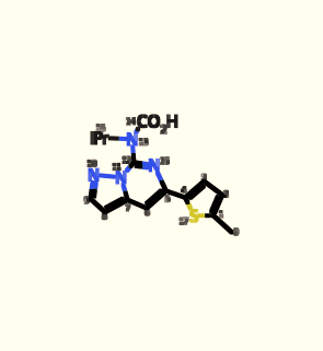 Cc1ccc(-c2cc3ccnn3c(N(C(=O)O)C(C)C)n2)s1